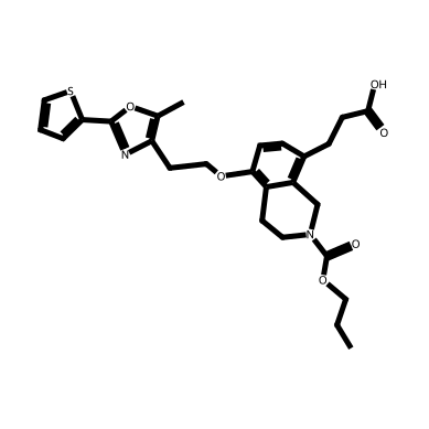 CCCOC(=O)N1CCc2c(OCCc3nc(-c4cccs4)oc3C)ccc(CCC(=O)O)c2C1